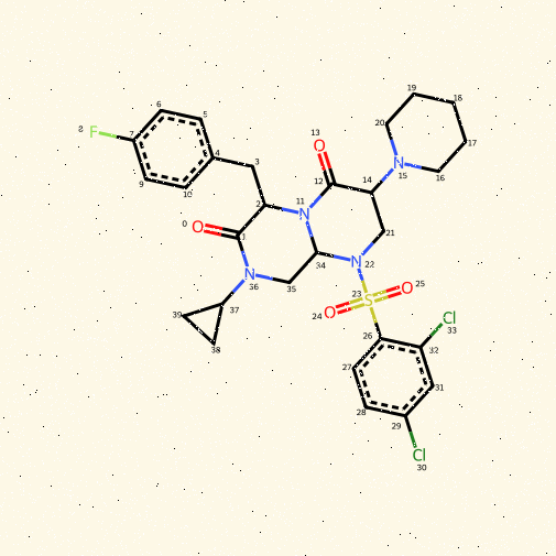 O=C1C(Cc2ccc(F)cc2)N2C(=O)C(N3CCCCC3)CN(S(=O)(=O)c3ccc(Cl)cc3Cl)C2CN1C1CC1